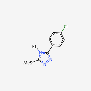 CCn1c(SC)nnc1-c1ccc(Cl)cc1